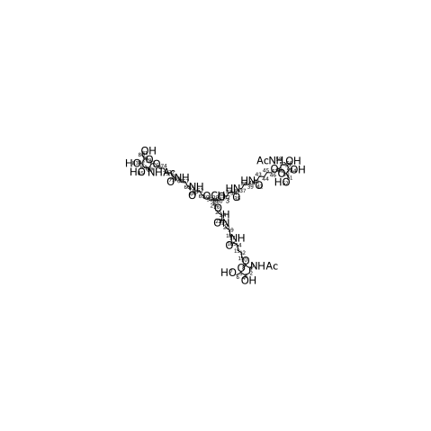 CC(=O)NC1CC(O)C(CO)OC1OCCCCC(=O)NCCCNC(=O)CCOCC(C)(COCCC(=O)NCCCNC(=O)CCCCOC1OC(CO)C(O)C(O)C1NC(C)=O)COCCC(=O)NCCCNC(=O)CCCCOC1OC(CO)C(O)C(O)C1NC(C)=O